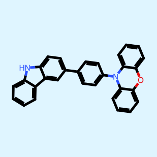 c1ccc2c(c1)Oc1ccccc1N2c1ccc(-c2ccc3[nH]c4ccccc4c3c2)cc1